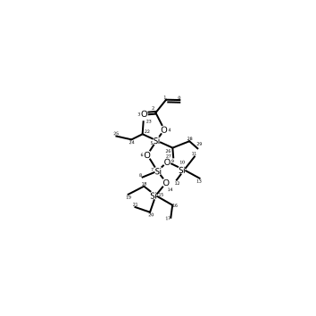 C=CC(=O)O[Si](O[Si](C)(O[Si](C)(C)C)O[Si](CC)(CC)CC)(C(C)CC)C(C)CC